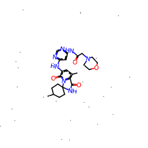 Cc1cc(Nc2cc(NC(=O)CN3CCOCC3)ncn2)c(=O)n2c1C(=O)NC21CCC(C)CC1